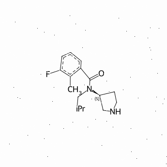 Cc1c(F)cccc1C(=O)N(CC(C)C)[C@H]1CCNC1